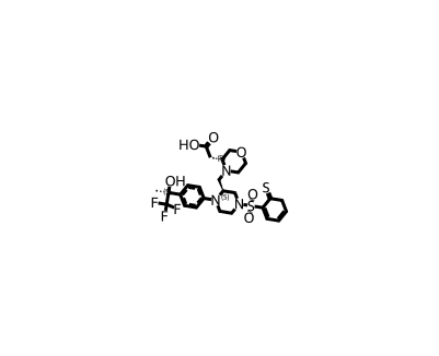 C[C@](O)(c1ccc(N2CCN(S(=O)(=O)C3=CC=CCC3=S)C[C@@H]2CN2CCOC[C@H]2CC(=O)O)cc1)C(F)(F)F